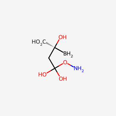 B[C@](O)(CC(O)(O)ON)C(=O)O